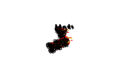 [Mo+4].[Mo+4].[Mo+4].[O-]P([O-])([S-])=S(c1ccccc1)c1ccccc1.[O-]P([O-])([S-])=S(c1ccccc1)c1ccccc1.[O-]P([O-])([S-])=S(c1ccccc1)c1ccccc1.[O-]P([O-])([S-])=S(c1ccccc1)c1ccccc1